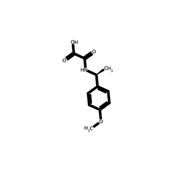 COc1ccc([C@H](C)NC(=O)C(=O)O)cc1